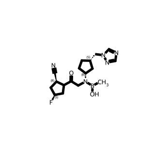 CB(O)N(CC(=O)C1C[C@@H](F)C[C@H]1C#N)[C@@H]1CC[C@H](Cn2cncn2)C1